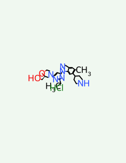 CCc1nc(N2CCO[C@H](CO)C2)cc(-n2ncc3cc(C)c(C4CCNCC4)cc32)n1.Cl